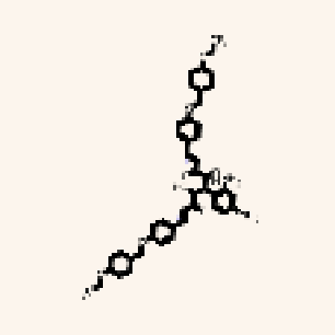 Nc1ccc(C(C(O)C(=O)/C=C/c2ccc(OCC3CCC(OCC(F)(F)F)CC3)cc2)C(O)C(=O)/C=C/c2ccc(OCC3CCC(OCC(F)(F)F)CC3)cc2)c(N)c1